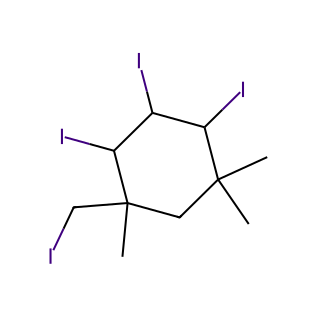 CC1(C)CC(C)(CI)C(I)C(I)C1I